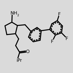 CC(C)C(=O)CCC1CCC(N)C1Cc1cccc(-c2cc(F)cc(F)c2F)c1